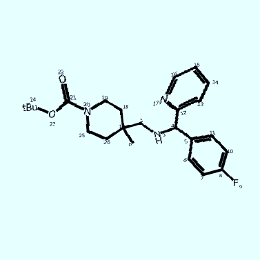 CC1(CNC(c2ccc(F)cc2)c2ccccn2)CCN(C(=O)OC(C)(C)C)CC1